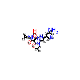 CC(C)Cn1c(=O)c(C(=O)NC2CC2)c(O)n2nc(-c3cncc(N)c3)cc12